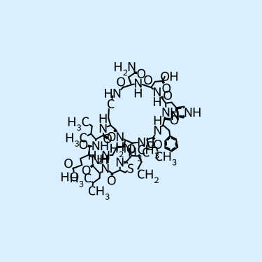 C=CCC(C)C(N)C1=NC(C(=O)NC(CC(C)C)C(=O)NC(CCC(=O)O)C(=O)NC(C(=O)NC2CCCCNC(=O)C(CC(N)=O)NC(=O)C(CC(=O)O)NC(=O)C(Cc3c[nH]cn3)NC(=O)C(Cc3ccccc3)NC(=O)C(C(C)CC)NC(=O)C(CCCN)NC2=O)C(C)CC)CS1